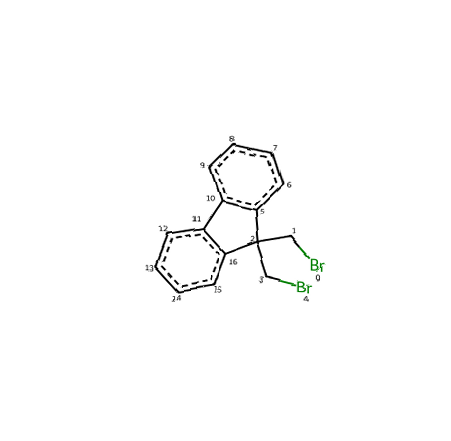 BrCC1(CBr)c2ccccc2-c2ccccc21